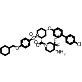 N[C@@H]1CCN(C(=O)[C@H]2C[C@@H](Oc3ccc(-c4ccc(Cl)cc4)cc3)CCN2S(=O)(=O)c2ccc(OCC3CCCCC3)cc2)CC1(F)F